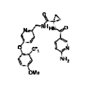 COc1ccc(Oc2ccc(CNC(=O)C3(NC(=O)c4ccc(N)nc4)CC3)nc2)c(C(F)(F)F)c1